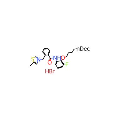 Br.CCCCCCCCCCCCCCOc1c(F)cccc1NC(=O)c1ccccc1CN1C=C(C)SC1